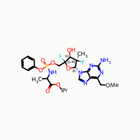 COCc1nc(N)nc2c1ncn2[C@@H]1O[C@](F)(COP(=O)(NC(C)C(=O)OC(C)C)Oc2ccccc2)[C@@H](O)[C@@]1(C)F